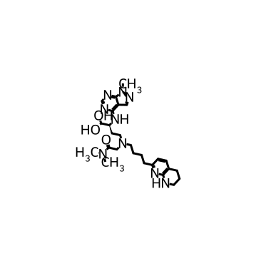 CN(C)C(=O)CN(CCCCc1ccc2c(n1)NCCC2)CC[C@H](Nc1ncnc2c1cnn2C)C(O)O